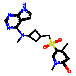 Cc1cc(=O)n(C)cc1S(=O)(=O)CC1CC(N(C)c2ncnc3[nH]ccc23)C1